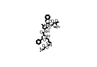 CC(C)C[C@H](NC(=O)[C@H](Cc1ccccc1)N1C(=O)[C@@H](NC(=O)[C@H](CCc2ccccc2)NC(=O)Cc2cnc(OC(=O)CN(C)C)s2)CC1C)C(=O)C1(C)CO1